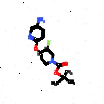 CC(C)(C)OC(=O)N1CC[C@H](Oc2ccc(N)cn2)[C@H](F)C1